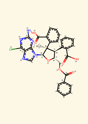 C[C@]1(c2ccccc2C(=O)O)[C@@H](c2ccccc2C(=O)O)[C@H](COC(=O)c2ccccc2)O[C@H]1n1cnc2c(Cl)nc(N)nc21